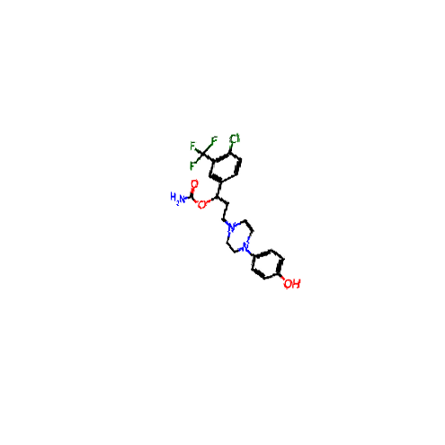 NC(=O)OC(CCN1CCN(c2ccc(O)cc2)CC1)c1ccc(Cl)c(C(F)(F)F)c1